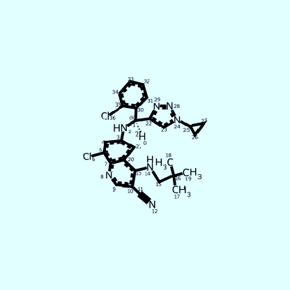 [2H][C@@](Nc1cc(Cl)c2ncc(C#N)c(NCC(C)(C)C)c2c1)(c1cn(C2CC2)nn1)c1ccccc1Cl